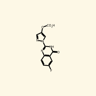 O=C(O)Oc1cnn(-c2nc3ccc(F)cc3c(=O)[nH]2)c1